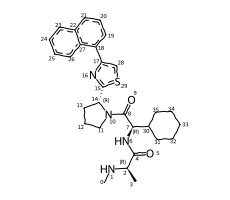 CN[C@H](C)C(=O)N[C@@H](C(=O)N1CCC[C@@H]1c1nc(-c2cccc3ccccc23)cs1)C1CCCCC1